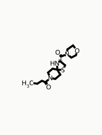 CCCC(=O)N1CCC2(CC1)N[C@H](C(=O)N1CCOCC1)CS2